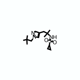 CC(C)(C)Cn1cc(CC(C)(C)NS(=O)(=O)C2CC2)cn1